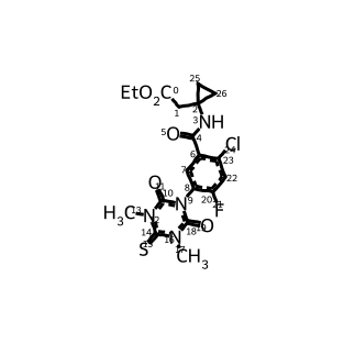 CCOC(=O)CC1(NC(=O)c2cc(-n3c(=O)n(C)c(=S)n(C)c3=O)c(F)cc2Cl)CC1